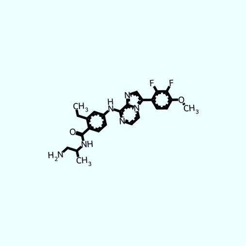 CCc1cc(Nc2nccn3c(-c4ccc(OC)c(F)c4F)cnc23)ccc1C(=O)NC(C)CN